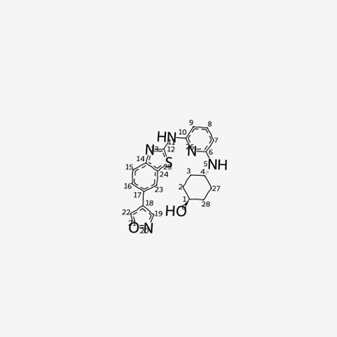 O[C@H]1CC[C@H](Nc2cccc(Nc3nc4ccc(-c5cnoc5)cc4s3)n2)CC1